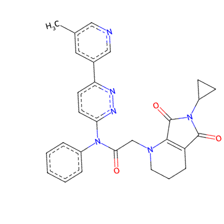 Cc1cncc(-c2ccc(N(C(=O)CN3CCCC4=C3C(=O)N(C3CC3)C4=O)c3ccccc3)nn2)c1